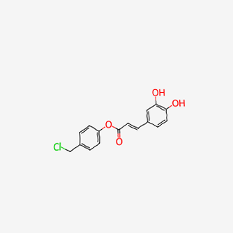 O=C(C=Cc1ccc(O)c(O)c1)Oc1ccc(CCl)cc1